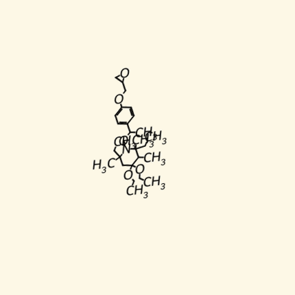 CCOC1(OCC)CC(C)(CC)N(OC(C)c2ccc(OCC3CO3)cc2)C(C)(CC)C1C